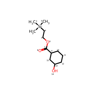 C[Si](C)(C)CCOC(=O)C1CCCC(O)C1